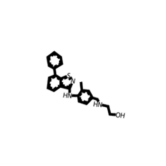 Cc1cc(CNCCO)ccc1Nc1nsc2c(-c3ccccc3)cccc12